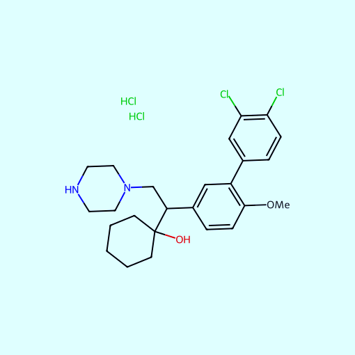 COc1ccc(C(CN2CCNCC2)C2(O)CCCCC2)cc1-c1ccc(Cl)c(Cl)c1.Cl.Cl